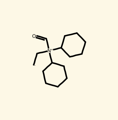 [CH2]C[N+](C=O)(C1CCCCC1)C1CCCCC1